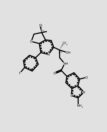 CC[C@]1(C)COc2c1cc([C@@](O)(CNC(=O)c1cc(Cl)c3nc(N)sc3c1)C(F)(F)F)nc2-c1ccc(F)cc1